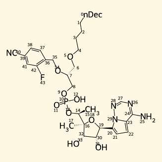 CCCCCCCCCCCCCCOC[C@H](COP(=O)(O)O[C@@H](C)[C@@]1(C)O[C@@H](c2ccc3c(N)ncnn23)[C@H](O)[C@@H]1O)OCc1ccc(C#N)cc1F